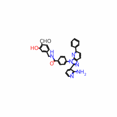 Nc1ncccc1-c1nc2ccc(-c3ccccc3)nc2n1-c1ccc(C(=O)NCc2ccc(C=O)c(O)c2)cc1